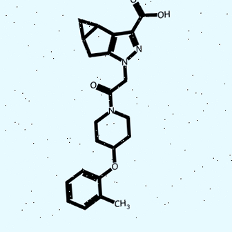 Cc1ccccc1OC1CCN(C(=O)Cn2nc(C(=O)O)c3c2CC2CC32)CC1